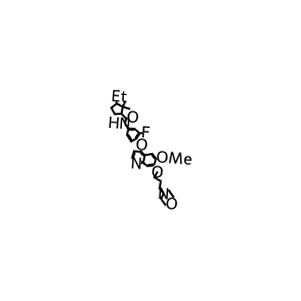 CCC1CCC(C(=O)Nc2ccc(Oc3ccnc4cc(OCCCN5CCOCC5)c(OC)cc34)c(F)c2)C1(C)C